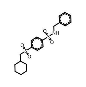 O=S(=O)(CC1CCCCC1)c1ccc(S(=O)(=O)NCc2ccccc2)cc1